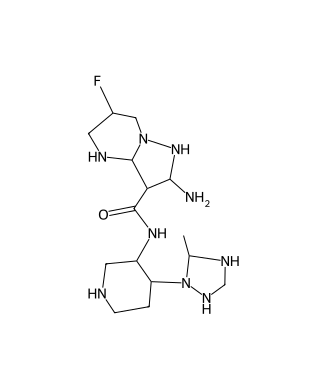 CC1NCNN1C1CCNCC1NC(=O)C1C(N)NN2CC(F)CNC12